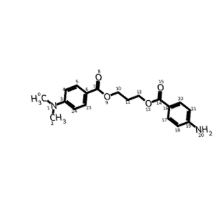 CN(C)c1ccc(C(=O)OCCCOC(=O)c2ccc(N)cc2)cc1